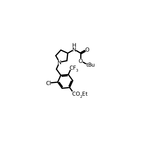 CCOC(=O)c1cc(Cl)c(CN2CCC(NC(=O)OC(C)(C)C)C2)c(C(F)(F)F)c1